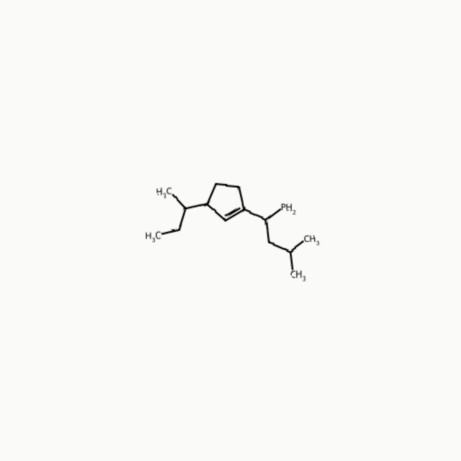 CCC(C)C1C=C(C(P)CC(C)C)CC1